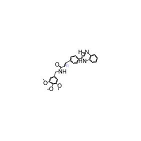 COc1cc(CNC(=O)/C=C/c2ccc(C(=O)Nc3ccccc3N)cc2)cc(OC)c1OC